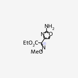 CCOC(=O)/C(=N\OC)c1coc(N)n1